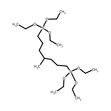 CCO[Si](CCCC(C)CCC[Si](OCC)(OCC)OCC)(OCC)OCC